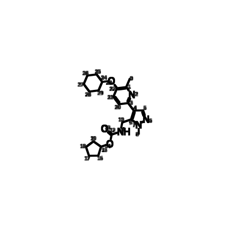 Cc1nc(-c2cnn(C)c2CNC(=O)OC2CCCC2)ccc1OC1CCCCC1